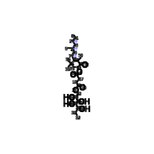 C/C=C/C=C(C)/C=C/C1=C(C)C(=O)C(OC(=O)CCC(=O)OCC(O)C(O)C(O)C(O)CC)CC1(C)C